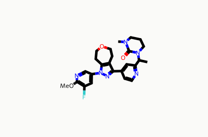 COc1ncc(-n2nc(-c3ccnc(C(C)N4CCCN(C)C4=O)c3)c3c2CCOCC3)cc1F